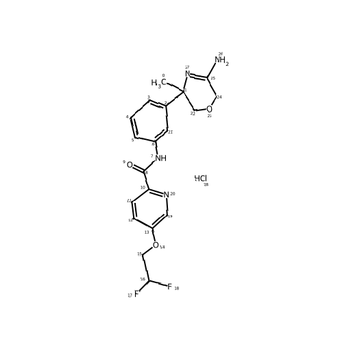 CC1(c2cccc(NC(=O)c3ccc(OCC(F)F)cn3)c2)COCC(N)=N1.Cl